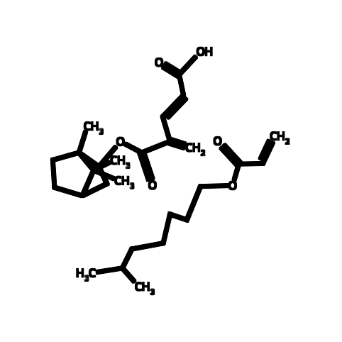 C=C(C=CC(=O)O)C(=O)OC1CC2CCC1(C)C2(C)C.C=CC(=O)OCCCCCC(C)C